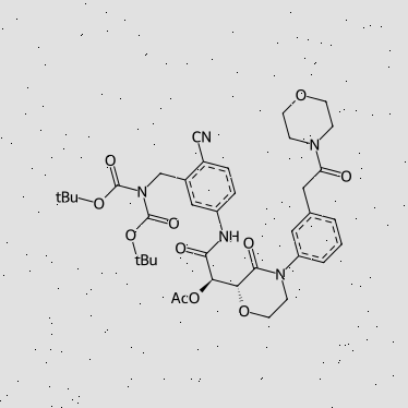 CC(=O)O[C@@H](C(=O)Nc1ccc(C#N)c(CN(C(=O)OC(C)(C)C)C(=O)OC(C)(C)C)c1)[C@H]1OCCN(c2cccc(CC(=O)N3CCOCC3)c2)C1=O